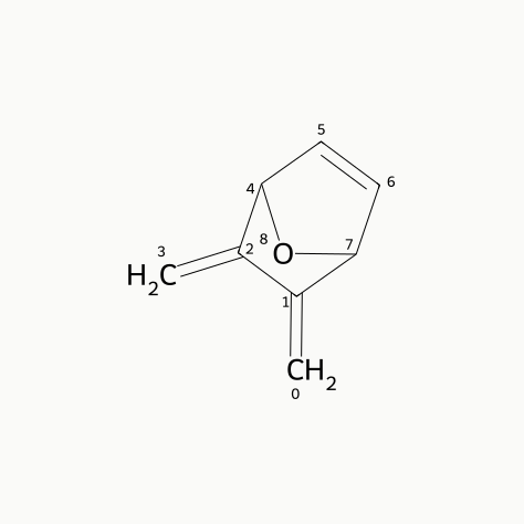 C=C1C(=C)C2C=CC1O2